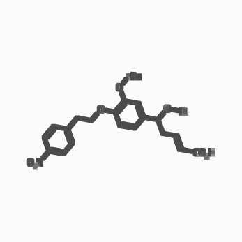 CCCCOc1cc(C(CC=CC(=O)O)OCC)ccc1OCCc1ccc([N+](=O)[O-])cc1